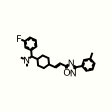 Cc1cccc(-c2noc(/C=C/C3CCC(C(c4cccc(F)c4)N(C)C)CC3)n2)c1